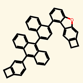 c1cc(-c2ccc(-c3c4ccccc4c(-c4ccc5c(c4)CC5)c4ccccc34)c3ccccc23)c2c(c1)oc1cc3c(cc12)CC3